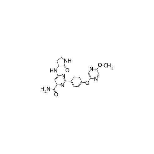 COc1cnc(Oc2ccc(-c3nc(NC4CCNC4=O)cc(C(N)=O)n3)cc2)cn1